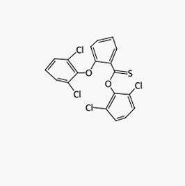 S=C(Oc1c(Cl)cccc1Cl)c1ccccc1Oc1c(Cl)cccc1Cl